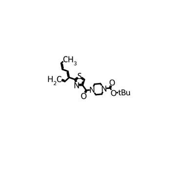 C=C/C(=C\C=C/C)c1nc(C(=O)N2CCN(C(=O)OC(C)(C)C)CC2)cs1